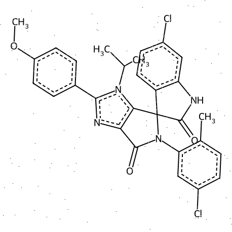 COc1ccc(-c2nc3c(n2C(C)C)C2(C(=O)Nc4cc(Cl)ccc42)N(c2cc(Cl)ccc2C)C3=O)cc1